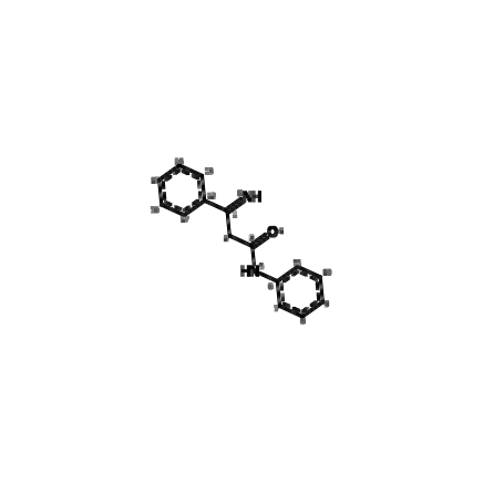 N=C(CC(=O)Nc1ccccc1)c1ccccc1